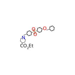 CCOC(=O)C1CCN(Cc2ccc(S(=O)(=O)c3ccc(OCc4ccccc4)cc3)cc2)CC1